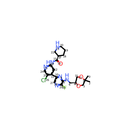 CC1(C)CO[C@@H](CNc2nc(-c3cc(NC(=O)[C@@H]4CCCNC4)ncc3Cl)cnc2F)CO1